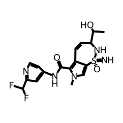 CC(O)C1C=Cc2c(cn(C)c2C(=O)Nc2ccnc(C(F)F)c2)S(=N)(=O)N1